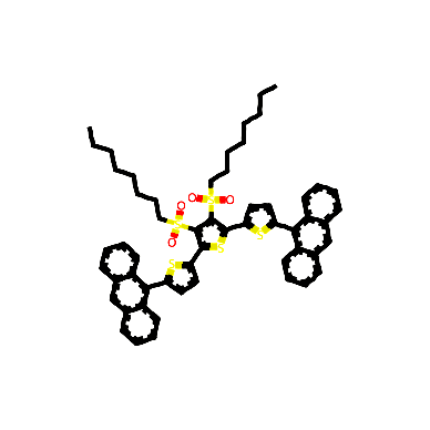 CCCCCCCCS(=O)(=O)c1c(-c2ccc(-c3c4ccccc4cc4ccccc34)s2)sc(-c2ccc(-c3c4ccccc4cc4ccccc34)s2)c1S(=O)(=O)CCCCCCCC